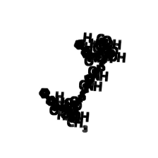 CC(=O)N[C@@H]1C(O)C[C@](OCCCSCCC(=O)Nc2cccc(NC(=O)CCSCCCO[C@]3(C(=O)O)C[C@H](O)[C@@H](NC(C)=O)C([C@H](O)[C@H](O)CNC(=O)c4ccc(-c5ccccc5)cc4)O3)c2)(C(=O)O)O[C@H]1[C@H](O)[C@H](O)CNC(=O)c1ccc(-c2ccccc2)cc1